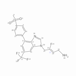 CS(=O)(=O)c1ccc(-c2cc(C(F)(F)F)cc3c2ncn3C/C(F)=C/CN)cc1